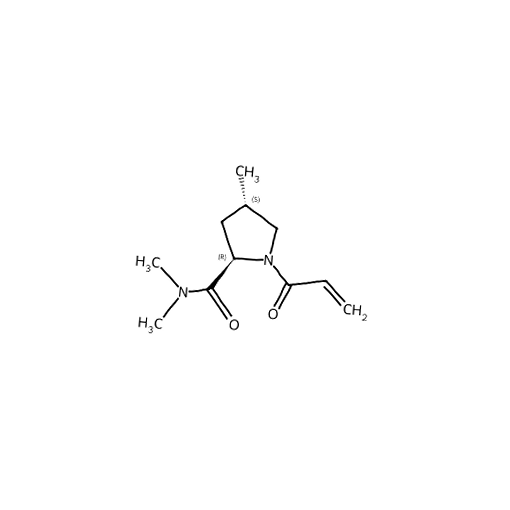 C=CC(=O)N1C[C@@H](C)C[C@@H]1C(=O)N(C)C